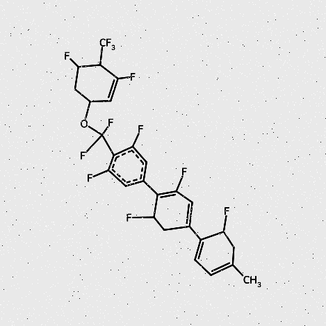 CC1=CC=C(C2=CC(F)=C(c3cc(F)c(C(F)(F)OC4C=C(F)C(C(F)(F)F)C(F)C4)c(F)c3)C(F)C2)C(F)C1